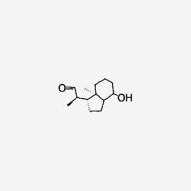 C[C@@H](C=O)[C@H]1CCC2C(O)CCC[C@@]21C